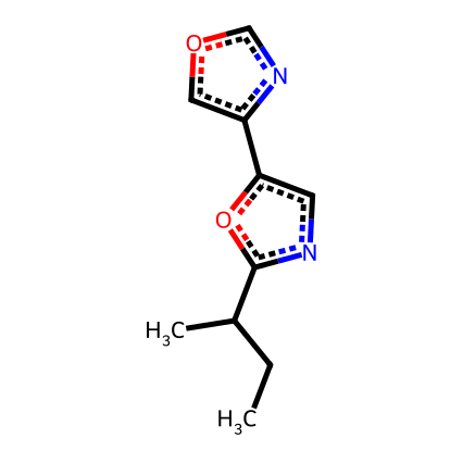 CCC(C)c1ncc(-c2cocn2)o1